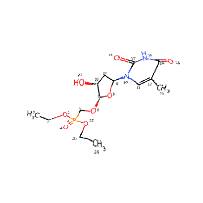 CCOP(=O)(CO[C@@H]1O[C@H](n2cc(C)c(=O)[nH]c2=O)C[C@@H]1O)OCC